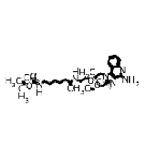 CCOCc1nc2c(N)nc3ccccc3c2n1CC(C)(C)OCCNC(=O)CCCCCNC(=O)OC(C)(C)C